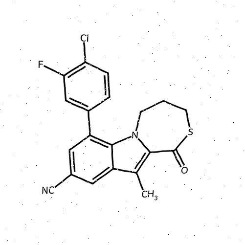 Cc1c2n(c3c(-c4ccc(Cl)c(F)c4)cc(C#N)cc13)CCCSC2=O